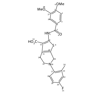 COc1ccc(C(=O)Nc2sc3c(c2C(=O)O)CCN(c2ccc(F)cc2C)C3)cc1OC